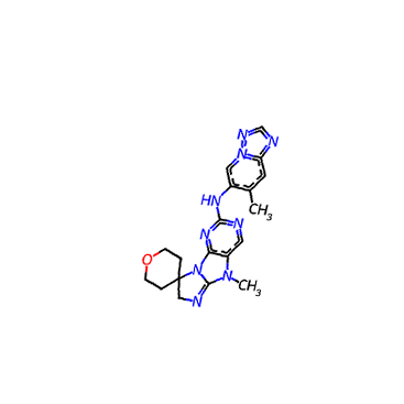 Cc1cc2ncnn2cc1Nc1ncc2c(n1)N1C(=NCC13CCOCC3)N2C